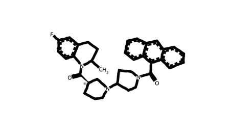 CC1CCc2cc(F)ccc2N1C(=O)[C@@H]1CCCN(C2CCN(C(=O)c3c4ccccc4cc4ccccc34)CC2)C1